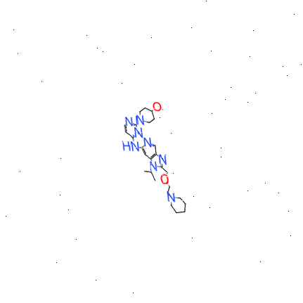 COC1CCN(c2nccc(Nc3cc4c(cn3)nc(COCCN3CCCCC3)n4C(C)C)n2)CC1